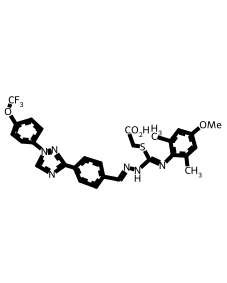 COc1cc(C)c(N=C(NN=Cc2ccc(-c3ncn(-c4ccc(OC(F)(F)F)cc4)n3)cc2)SCC(=O)O)c(C)c1